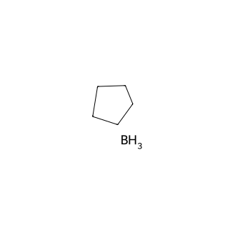 B.C1CCCC1